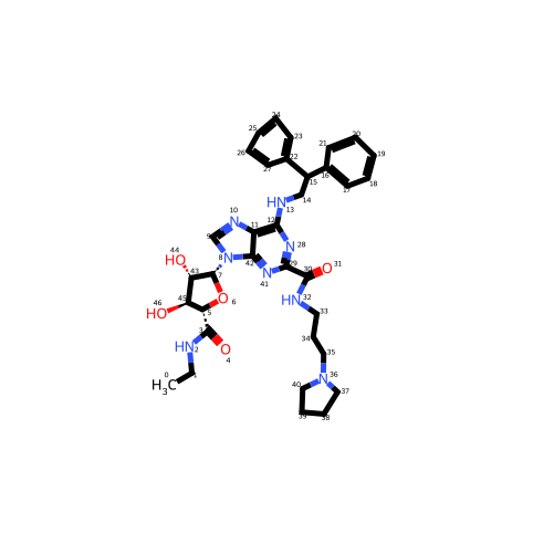 CCNC(=O)[C@H]1O[C@@H](n2cnc3c(NCC(c4ccccc4)c4ccccc4)nc(C(=O)NCCCN4CCCC4)nc32)[C@@H](O)[C@@H]1O